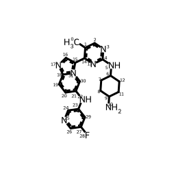 Cc1cnc(NC2CCC(N)CC2)nc1-c1cnc2ccc(Nc3cncc(F)c3)cn12